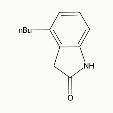 CCCCc1cccc2c1CC(=O)N2